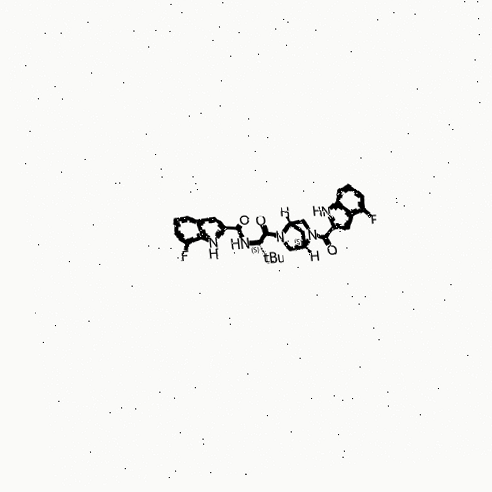 CC(C)(C)[C@H](NC(=O)c1cc2cccc(F)c2[nH]1)C(=O)N1C[C@@H]2C[C@H]1CN2C(=O)c1cc2c(F)cccc2[nH]1